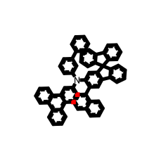 c1ccc(-c2cccc(N(c3ccc4c5ccccc5c5ccccc5c4c3)c3cc4c(cc3-c3cccc5ccccc35)-c3ccccc3C43c4ccccc4-c4ccccc43)c2)cc1